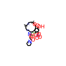 C[C@@H]1C/C=C/[C@H](C)C/C=C/C(=N/OCC(=O)N2CCCCC2)Cc2c(Cl)c(OP(=O)(O)O)cc(O)c2C(=O)O1